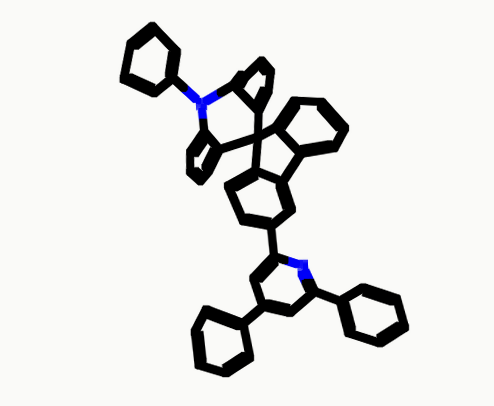 c1ccc(-c2cc(-c3ccccc3)nc(-c3ccc4c(c3)-c3ccccc3C43c4ccccc4N(c4ccccc4)c4ccccc43)c2)cc1